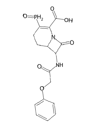 O=[PH2]C1=C(C(=O)O)N2C(=O)C(NC(=O)COc3ccccc3)C2CC1